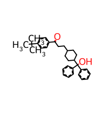 CC(C)(C)c1ccc(C(=O)CCC2CCC(C(O)(c3ccccc3)c3ccccc3)CC2)cc1